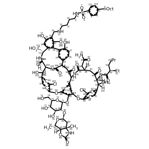 CCCCCCCCc1ccc(S(=O)(=O)NCCCCNCc2c(O)cc3c(c2O)-c2cc(ccc2O)[C@H]2CC(=O)[C@@H]4NC(=O)[C@H](CC(N)=O)CC(=O)[C@H](NC(=O)[C@H](CC)CC(C)C)[C@H](O)c5ccc(c(Cl)c5)Oc5cc4cc(c5O[C@@H]4O[C@H](CO)[C@@H](O)[C@H](O)[C@H]4O[C@H]4C[C@]5(C)NC(=O)O[C@@H]5[C@H](C)O4)Oc4ccc(cc4Cl)[C@@H](O)[C@H](NC2=O)C(=O)N[C@@H]3C(=O)O)cc1